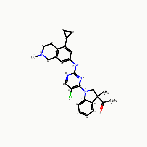 CNC(=O)C1(C)CN(c2nc(Nc3cc4c(c(C5CC5)c3)CCN(C)C4)ncc2Cl)c2ccccc21